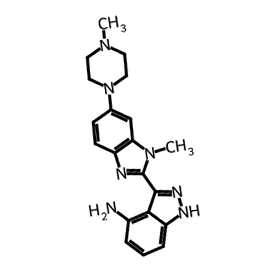 CN1CCN(c2ccc3nc(-c4n[nH]c5cccc(N)c45)n(C)c3c2)CC1